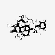 CC1=C(C(=O)O)C(CCN(C)Cc2ccccc2)(c2ccco2)c2c(n(C)c(=O)n(C)c2=O)N1